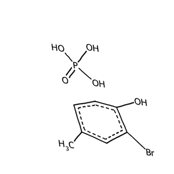 Cc1ccc(O)c(Br)c1.O=P(O)(O)O